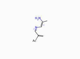 C=C(/C=N\C=C(\C)N)C(C)=O